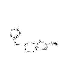 Cc1cn2c(n1)CC(Cc1ccon1)CC2